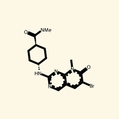 CNC(=O)[C@H]1CC[C@H](Nc2ncc3cc(Br)c(=O)n(C)c3n2)CC1